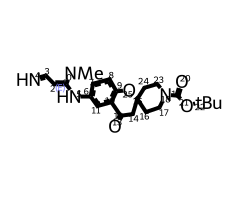 CN/C(=C\C=N)Nc1ccc2c(c1)C(=O)CC1(CCN(C(=O)OC(C)(C)C)CC1)O2